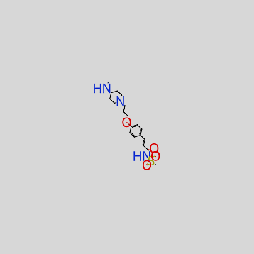 CNC1CCN(CCCOc2ccc(/C=C/C(=O)NS(C)(=O)=O)cc2)CC1